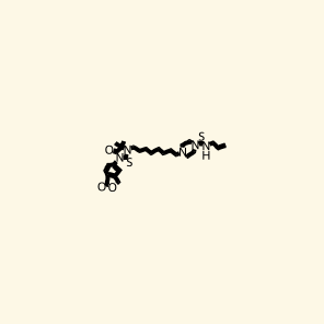 C=CCNC(=S)N1CCN(CCCCCCCCN2C(=S)N(c3ccc4c(c3)COC4=O)C(=O)C2(C)C)CC1